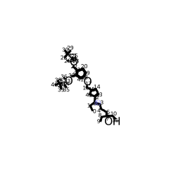 CC/C(=C\CCC(O)(CC)CC)C1=CC=C(COc2ccc(CO[Si](C)(C)C(C)(C)C)c(CO[Si](C)(C)C(C)(C)C)c2)C1